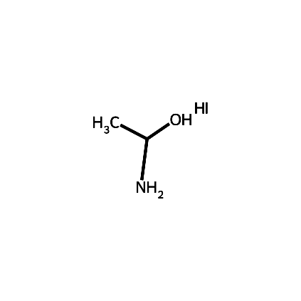 CC(N)O.I